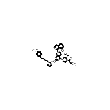 C=CC(=O)N1CCN(c2nc(OC[C@@H]3CCCN3CCCCc3ccc(C)cc3)nc3c2CCN(c2cccc4cccc(Cl)c24)C3)C[C@@H]1CC#N